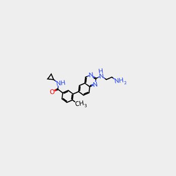 Cc1ccc(C(=O)NC2CC2)cc1-c1ccc2nc(NCCN)ncc2c1